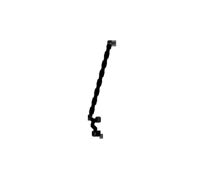 C#CC#CC#CC#CC#CC#CC#CC#CSC(=O)CCC